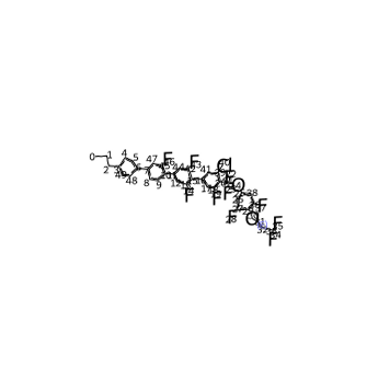 CCCc1ccc(-c2ccc(-c3cc(F)c(-c4cc(F)c(C(F)(F)Oc5cc(F)c(O/C=C/C(F)F)c(F)c5)c(Cl)c4)c(F)c3)c(F)c2)cc1